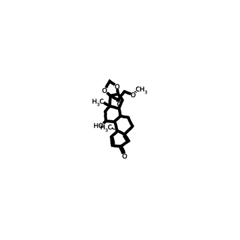 COCC(=O)C12OCOC1CC1C3CCC4=CC(=O)C=C[C@@]4(C)C3C(O)CC12C